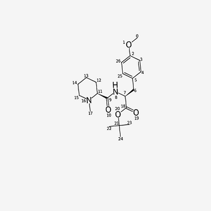 COc1ccc(C[C@H](NC(=O)[C@@H]2CCCCN2C)C(=O)OC(C)(C)C)cc1